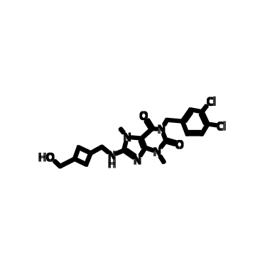 Cn1c(NCC2CC(CO)C2)nc2c1c(=O)n(Cc1ccc(Cl)c(Cl)c1)c(=O)n2C